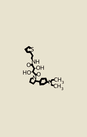 CCN(CC)c1ccc(C2CCCN2C(=O)[C@H](O)[C@@H](O)C(=O)NCCc2cccs2)cc1